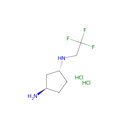 Cl.Cl.N[C@@H]1CC[C@@H](NCC(F)(F)F)C1